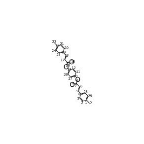 Cc1ccc(/C=C/C(=O)Oc2ccc(OC(=O)/C=C/c3ccc(C)cc3)cc2)cc1